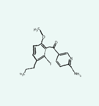 [CH2]CCc1ccc(OC)c(C(=O)c2ccc(N)nc2)c1F